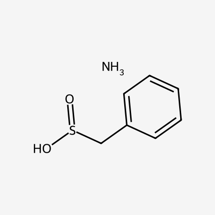 N.O=S(O)Cc1ccccc1